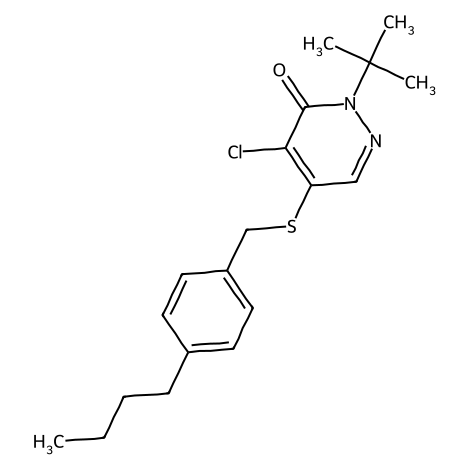 CCCCc1ccc(CSc2cnn(C(C)(C)C)c(=O)c2Cl)cc1